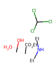 CCNCC.CCOC(C)=O.CO.ClC(Cl)Cl.O